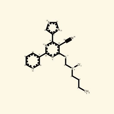 CCCC[S+]([O-])CSc1nc(-c2cccnc2)nc(-c2cscn2)c1C#N